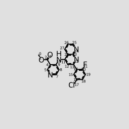 COC(=O)c1cnccc1Nc1cc(-c2cc(Cl)ccc2F)nc2ncccc12